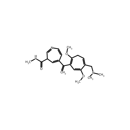 C=C(C1=CC(C(=O)NC)C=NC=C1)C1=C(OC)CC=C(CN(C)C)C(OC)=C1